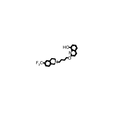 Oc1cccc2ccc(OCCCCN3CCc4cc(C(F)(F)F)ccc4C3)nc12